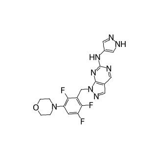 Fc1cc(N2CCOCC2)c(F)c(Cn2ncc3cnc(Nc4cn[nH]c4)nc32)c1F